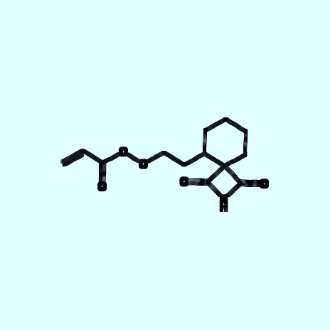 C=CC(=O)OOCCC1CCCCC12C(=O)NC2=O